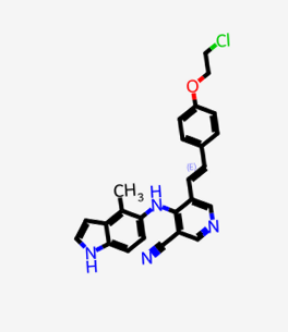 Cc1c(Nc2c(C#N)cncc2/C=C/c2ccc(OCCCl)cc2)ccc2[nH]ccc12